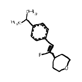 CC(C)c1ccc(/C=C(\F)C2CCOCC2)cc1